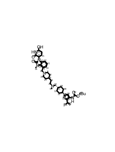 CN(CCC1CCN(Cc2cccc3c2n(C)c(=O)n3C2CCC(O)NC2=O)CC1)C[C@H]1CC[C@H](n2cc(NC(=O)OC(C)(C)C)c(C(F)F)n2)CC1